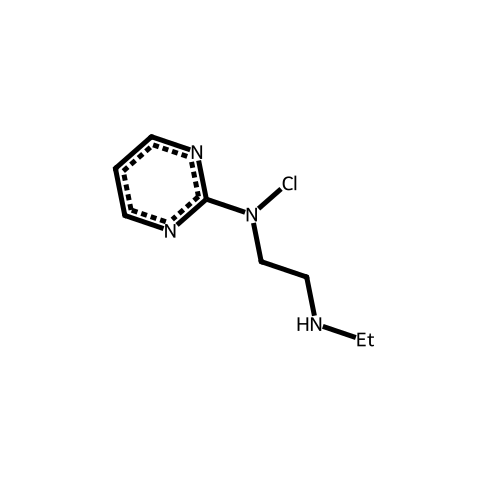 CCNCCN(Cl)c1ncccn1